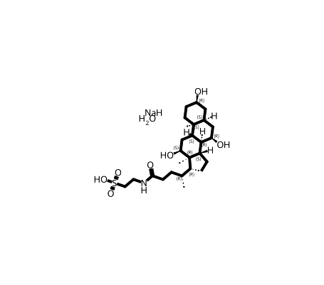 C[C@H](CCC(=O)NCCS(=O)(=O)O)[C@H]1CC[C@H]2[C@@H]3[C@H](O)C[C@@H]4C[C@H](O)CC[C@]4(C)[C@H]3C[C@H](O)[C@]12C.O.[NaH]